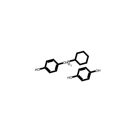 NC1CCCCC1.Oc1ccc(O)cc1.Oc1ccc(O)cc1